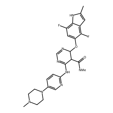 CNC(=O)C1C(Nc2ccc(N3CCN(C)CC3)cn2)=NC=NC1Oc1cc(F)c2[nH]c(C)cc2c1F